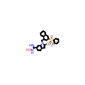 CCOC(=O)c1cc2ccc(C(=N)NO)cc2n1Cc1cc(S(=O)(=O)c2ccccc2)cc2ccccc12